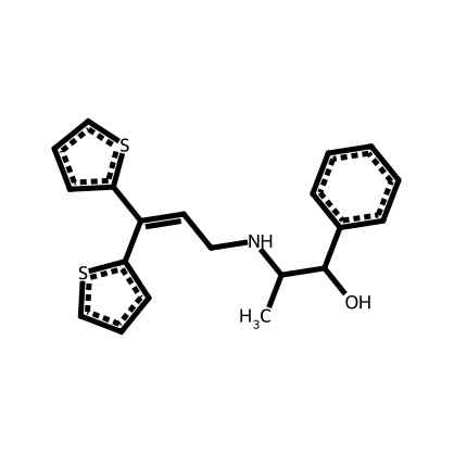 CC(NCC=C(c1cccs1)c1cccs1)C(O)c1ccccc1